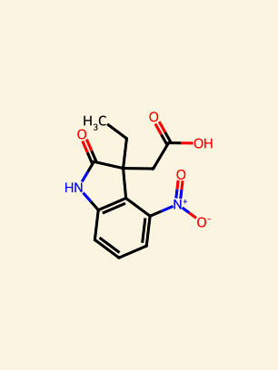 CCC1(CC(=O)O)C(=O)Nc2cccc([N+](=O)[O-])c21